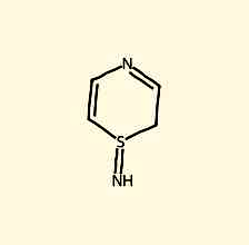 N=S1C=CN=CC1